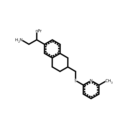 CCCC(CN)c1ccc2c(c1)CCC(CSc1cccc(C)n1)C2